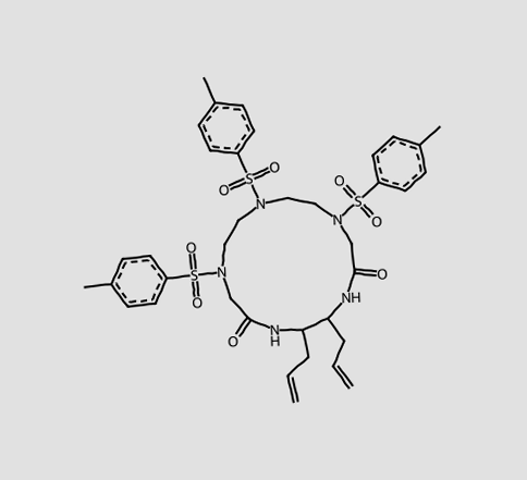 C=CCC1NC(=O)CN(S(=O)(=O)c2ccc(C)cc2)CCN(S(=O)(=O)c2ccc(C)cc2)CCN(S(=O)(=O)c2ccc(C)cc2)CC(=O)NC1CC=C